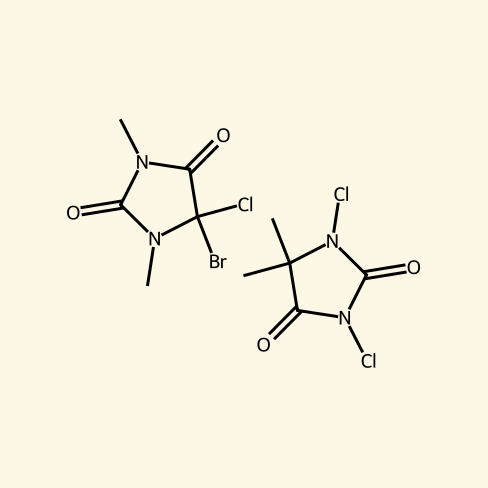 CC1(C)C(=O)N(Cl)C(=O)N1Cl.CN1C(=O)N(C)C(Cl)(Br)C1=O